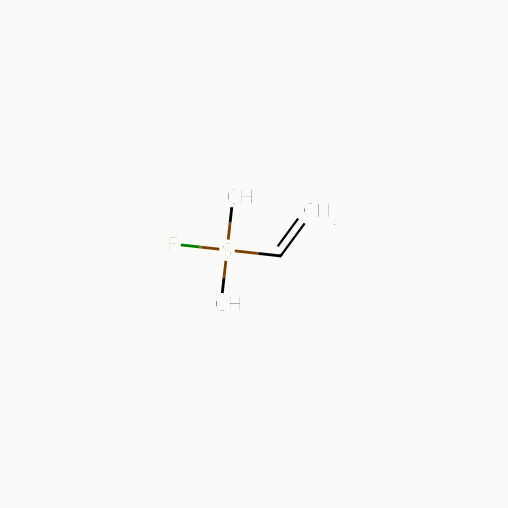 C=CS(C)(C)F